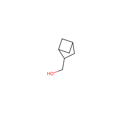 OCC1CC2CC1C2